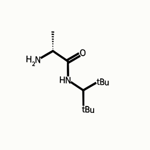 C[C@@H](N)C(=O)NC(C(C)(C)C)C(C)(C)C